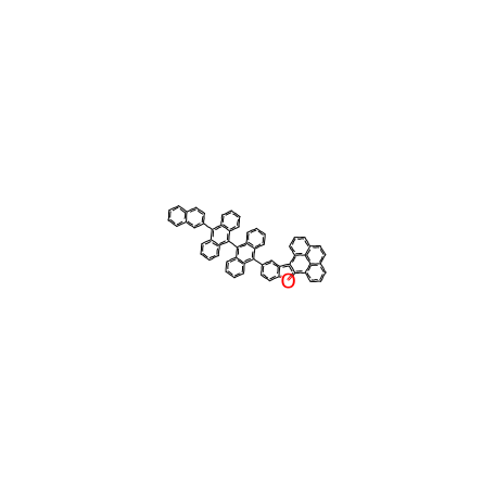 c1ccc2cc(-c3c4ccccc4c(-c4c5ccccc5c(-c5ccc6oc7c8cccc9ccc%10cccc(c7c6c5)c%10c98)c5ccccc45)c4ccccc34)ccc2c1